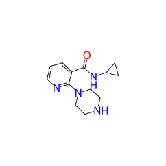 O=C(NC1CC1)c1cccnc1N1CCNCC1